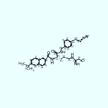 CN(C)c1ccc2cc(C(=O)N[C@@H](CCCNC(=N)CCl)C(=O)NCc3ccc(CN=[N+]=[N-])cc3)ccc2c1